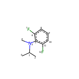 CC(C)N(C)c1c(F)cccc1F